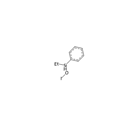 CC[SiH](OI)c1ccccc1